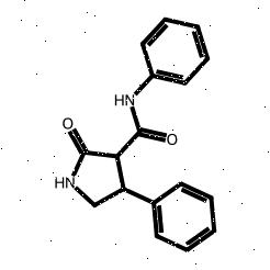 O=C1NCC(c2ccccc2)C1C(=O)Nc1ccccc1